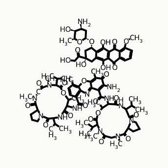 COc1cccc2c1C(=O)c1c(O)c3c(c(O)c1C2=O)C[C@@](O)(C(=O)CO)C[C@@H]3O[C@H]1C[C@H](N)[C@H](O)[C@H](C)O1.Cc1c2oc3c(C)ccc(C(=O)NC4C(=O)NC(C(C)C)C(=O)N5CCCC5C(=O)N(C)CC(=O)N(C)C(C(C)C)C(=O)OC4C)c3nc-2c(C(=O)NC2C(=O)NC(C(C)C)C(=O)N3CCCC3C(=O)N(C)CC(=O)N(C)C(C(C)C)C(=O)OC2C)c(N)c1=O